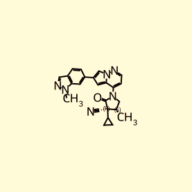 C[C@@H]1CN(c2ccnn3cc(-c4ccc5cnn(C)c5c4)cc23)C(=O)[C@]1(C#N)C1CC1